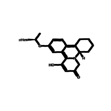 CCCCCC[C@@H](C)Oc1ccc2c(c1)=C1C(O)=CC(=O)CN1[C@H]1CCCCC=21